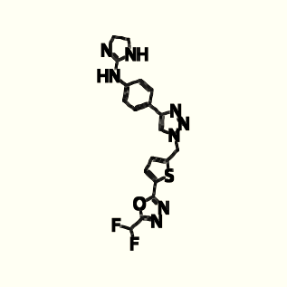 FC(F)c1nnc(-c2ccc(Cn3cc(-c4ccc(NC5=NCCN5)cc4)nn3)s2)o1